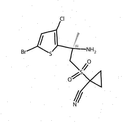 C[C@](N)(CS(=O)(=O)C1(C#N)CC1)c1sc(Br)cc1Cl